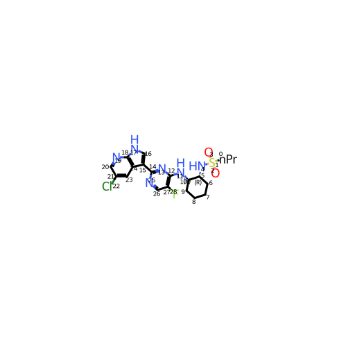 CCCS(=O)(=O)N[C@@H]1CCCC[C@H]1Nc1nc(-c2c[nH]c3ncc(Cl)cc23)ncc1F